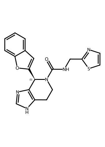 O=C(NCc1nccs1)N1CCc2[nH]cnc2[C@H]1c1cc2ccccc2o1